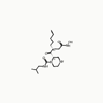 CCCCC[C@H](CC(=O)NO)C(=O)[C@@H]1CNCCN1C(=O)NCC(C)C